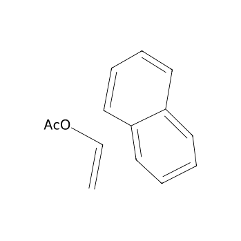 C=COC(C)=O.c1ccc2ccccc2c1